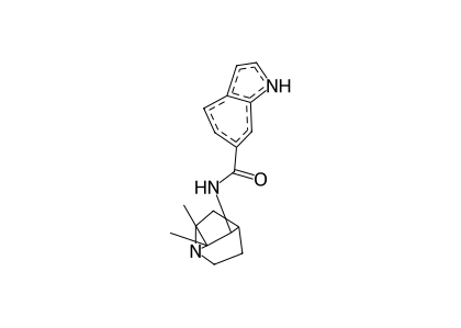 CC1(C)C(NC(=O)c2ccc3cc[nH]c3c2)C2CCN1CC2